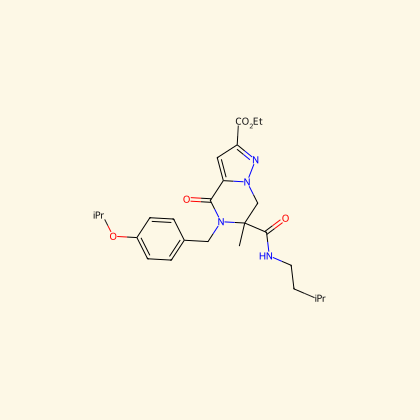 CCOC(=O)c1cc2n(n1)CC(C)(C(=O)NCCC(C)C)N(Cc1ccc(OC(C)C)cc1)C2=O